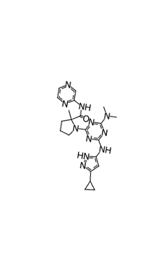 CN(C)c1nc(Nc2cc(C3CC3)n[nH]2)nc(N2CCCC2(C)C(=O)Nc2cnccn2)n1